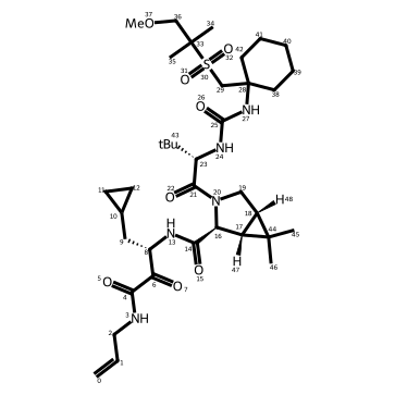 C=CCNC(=O)C(=O)[C@H](CC1CC1)NC(=O)[C@@H]1[C@@H]2[C@H](CN1C(=O)[C@@H](NC(=O)NC1(CS(=O)(=O)C(C)(C)COC)CCCCC1)C(C)(C)C)C2(C)C